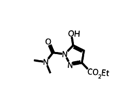 CCOC(=O)c1cc(O)n(C(=O)N(C)C)n1